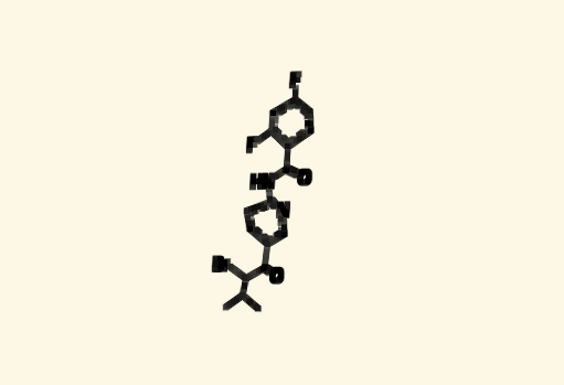 CC(C)C(Br)C(=O)c1ccc(NC(=O)c2ccc(F)cc2F)nc1